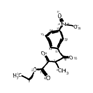 CCOC(=O)C(=O)C(C)C(=O)c1cccc([N+](=O)[O-])c1